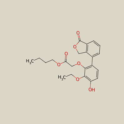 CCCCOC(=O)COc1c(-c2cccc3c2COC3=O)ccc(O)c1OCC